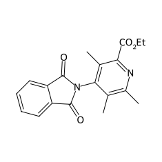 CCOC(=O)c1nc(C)c(C)c(N2C(=O)c3ccccc3C2=O)c1C